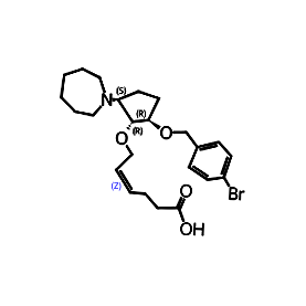 O=C(O)CC/C=C\CO[C@H]1[C@H](OCc2ccc(Br)cc2)CC[C@@H]1N1CCCCCC1